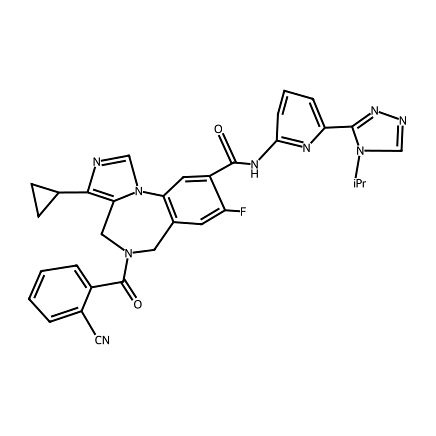 CC(C)n1cnnc1-c1cccc(NC(=O)c2cc3c(cc2F)CN(C(=O)c2ccccc2C#N)Cc2c(C4CC4)ncn2-3)n1